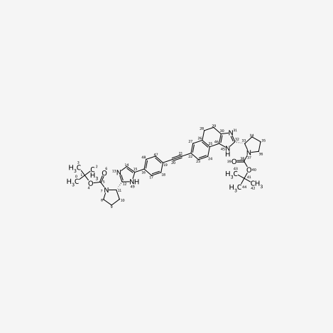 CC(C)(C)OC(=O)N1CCC[C@H]1c1ncc(-c2ccc(C#Cc3ccc4c(c3)CCc3nc([C@@H]5CCCN5C(=O)OC(C)(C)C)[nH]c3-4)cc2)[nH]1